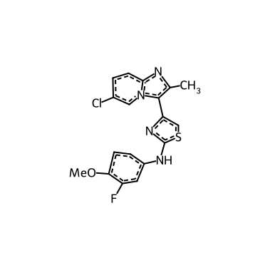 COc1ccc(Nc2nc(-c3c(C)nc4ccc(Cl)cn34)cs2)cc1F